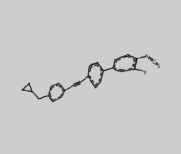 Fc1cc(-c2ccc(C#Cc3ccc(CC4CC4)cc3)cc2)ccc1N=C=S